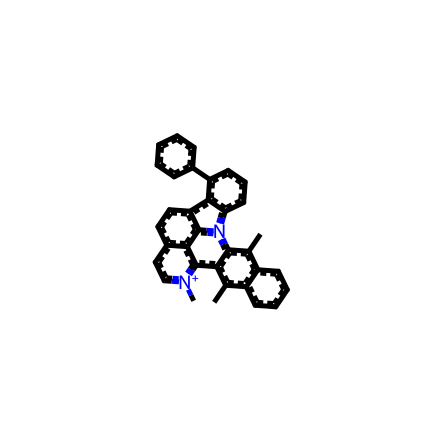 Cc1c2ccccc2c(C)c2c1c1c3c(ccc4c5c(-c6ccccc6)cccc5n2c43)cc[n+]1C